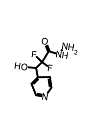 NNC(=O)C(F)(F)C(O)c1ccncc1